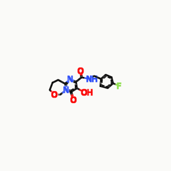 O=C(NCc1ccc(F)cc1)c1nc2n(c(=O)c1O)COCCC2